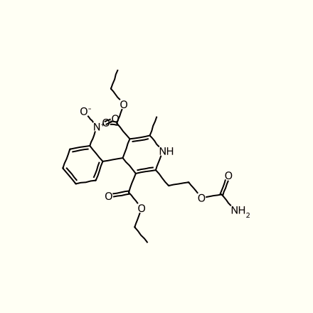 CCOC(=O)C1=C(C)NC(CCOC(N)=O)=C(C(=O)OCC)C1c1ccccc1[N+](=O)[O-]